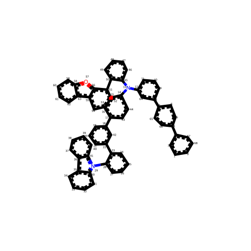 c1ccc(-c2ccc(-c3cccc(N(c4ccc(-c5cccc(-c6ccccc6-n6c7ccccc7c7ccccc76)c5)cc4)c4ccccc4-c4cccc5c4oc4ccccc45)c3)cc2)cc1